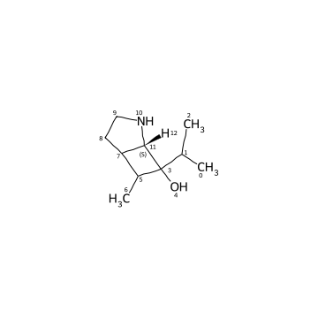 CC(C)C1(O)C(C)C2CCN[C@@H]21